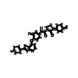 CN1CC=C(c2cc3nccc(Oc4ccc(NC(=O)N5CCN(c6ccc(F)cc6)C5=O)cc4F)c3s2)CC1